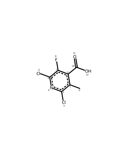 Cc1c(Cl)nc(Cl)c(F)c1C(=O)O